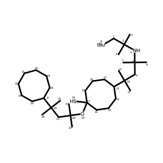 CC(C)(C)CC(C)(C)NC(C)(C)CC(C)(C)C1CCCC(S)(OC(C)(C)CC(C)(C)C2CCCCCCC2)CCC1